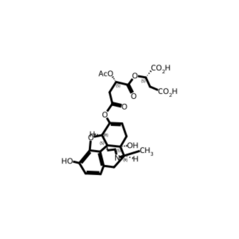 CC(=O)O[C@@H](CC(=O)OC1=CC[C@@]2(O)[C@H]3Cc4ccc(O)c5c4[C@@]2(CCN3C)[C@H]1O5)C(=O)O[C@@H](CC(=O)O)C(=O)O